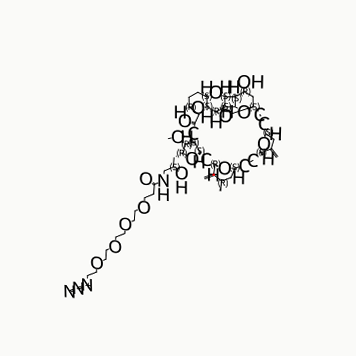 C=C1C[C@@H]2CC[C@]34C[C@@H](O)[C@@H]5C(O3)[C@@H]3[C@H]5O[C@H]5CC[C@H](CC(=O)C[C@@H]6[C@@H](OC)[C@@H](C[C@H](O)CNC(=O)CCOCCOCCOCCOCCN=[N+]=[N-])O[C@H]6C[C@H]6O[C@@H](CC[C@@H]1O2)C[C@@H](C)C6=C)O[C@@H]5[C@@H]3O4